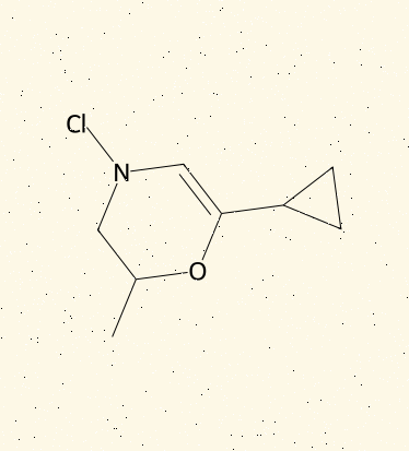 CC1CN(Cl)C=C(C2CC2)O1